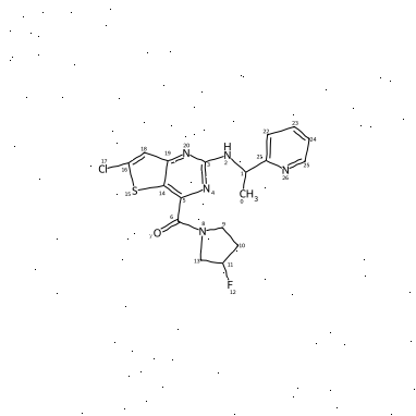 CC(Nc1nc(C(=O)N2CCC(F)C2)c2sc(Cl)cc2n1)c1ccccn1